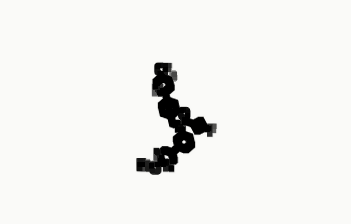 CCOc1ncc(-c2cccc(N(CC34CCC(c5ccc(C(F)(F)F)cn5)(CC3)CC4)C(=O)C34CC(F)(C3)C4)c2)cn1